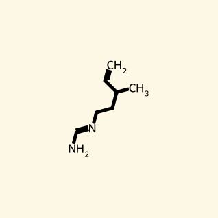 C=CC(C)CC/N=C/N